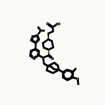 COc1ccc(C23CCC(CN(c4cc(-c5cnn(C(C)C)c5)ccn4)C(=O)[C@H]4CC[C@H](CCC(=O)O)CC4)(CC2)CC3)cc1C